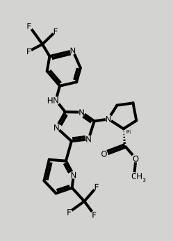 COC(=O)[C@H]1CCCN1c1nc(Nc2ccnc(C(F)(F)F)c2)nc(-c2cccc(C(F)(F)F)n2)n1